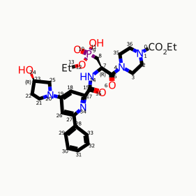 CCOC(=O)N1CCN(C(=O)[C@H](CP(=O)(O)OCC)NC(=O)c2cc(N3CC[C@@H](O)C3)cc(-c3ccccc3)n2)CC1